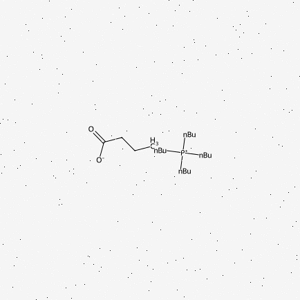 CCCC(=O)[O-].CCCC[P+](CCCC)(CCCC)CCCC